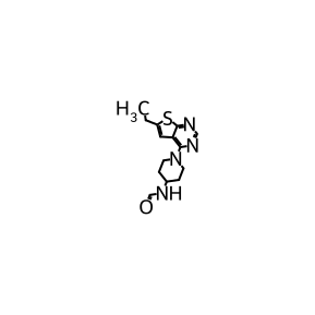 CCc1cc2c(N3CCC(NC=O)CC3)ncnc2s1